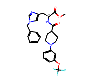 COC(=O)[C@H](Cc1cn(Cc2ccccc2)cn1)NC(=O)C1CCN(c2cccc(OC(F)(F)F)c2)CC1